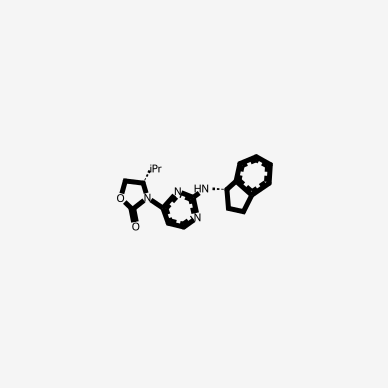 CC(C)[C@H]1COC(=O)N1c1ccnc(N[C@H]2CCc3ccccc32)n1